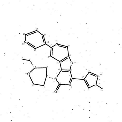 CC[C@@H]1C[C@H](n2c(=O)nc(-c3cnn(C)c3)c3oc4cnc(-c5cccnc5)cc4c32)CCO1